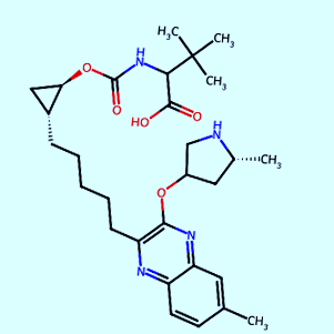 Cc1ccc2nc(CCCCC[C@@H]3C[C@H]3OC(=O)NC(C(=O)O)C(C)(C)C)c(OC3CN[C@H](C)C3)nc2c1